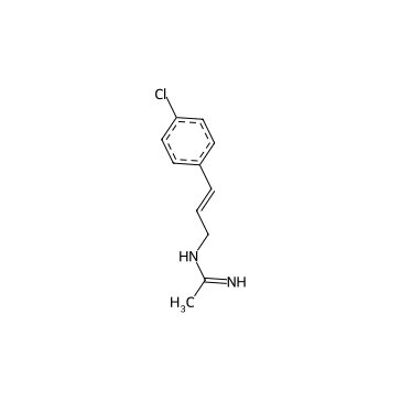 CC(=N)NCC=Cc1ccc(Cl)cc1